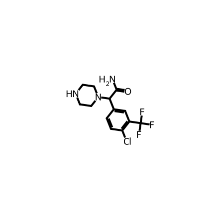 NC(=O)C(c1ccc(Cl)c(C(F)(F)F)c1)N1CCNCC1